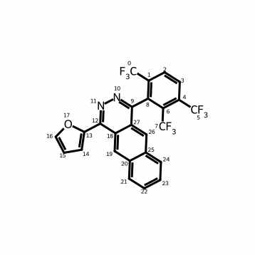 FC(F)(F)c1ccc(C(F)(F)F)c(C(F)(F)F)c1-c1nnc(-c2ccco2)c2cc3ccccc3cc12